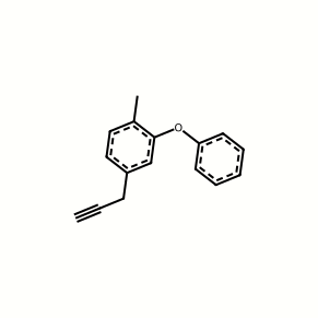 C#CCc1ccc(C)c(Oc2ccccc2)c1